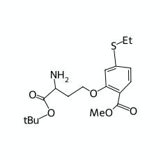 CCSc1ccc(C(=O)OC)c(OCCC(N)C(=O)OC(C)(C)C)c1